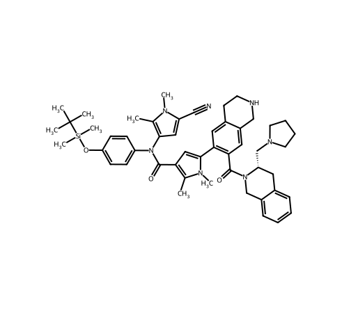 Cc1c(N(C(=O)c2cc(-c3cc4c(cc3C(=O)N3Cc5ccccc5C[C@H]3CN3CCCC3)CNCC4)n(C)c2C)c2ccc(O[Si](C)(C)C(C)(C)C)cc2)cc(C#N)n1C